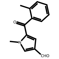 Cc1ccccc1C(=O)c1cc(C=O)cn1C